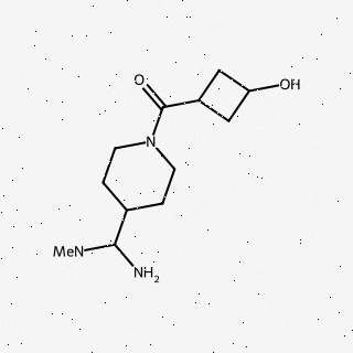 CNC(N)C1CCN(C(=O)C2CC(O)C2)CC1